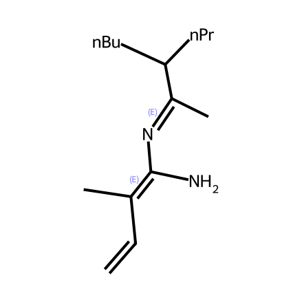 C=C/C(C)=C(N)/N=C(\C)C(CCC)CCCC